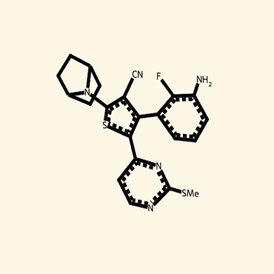 CSc1nccc(-c2sc(N3C4CCC3CC4)c(C#N)c2-c2cccc(N)c2F)n1